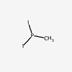 CP(I)I